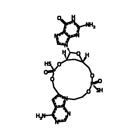 Nc1nc2c(ncn2[C@@H]2O[C@@H]3COP(=O)(S)OCCn4c(cc5c(N)ncnc54)COP(=O)(S)O[C@@H]2C3)c(=O)[nH]1